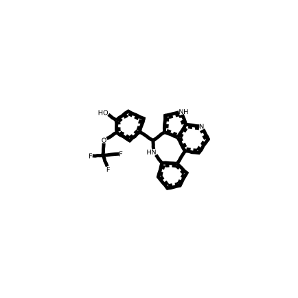 Oc1ccc(C2Nc3ccccc3-c3ccnc4[nH]cc2c34)cc1OC(F)(F)F